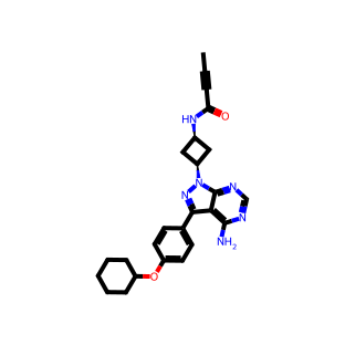 CC#CC(=O)N[C@H]1C[C@@H](n2nc(-c3ccc(OC4CCCCC4)cc3)c3c(N)ncnc32)C1